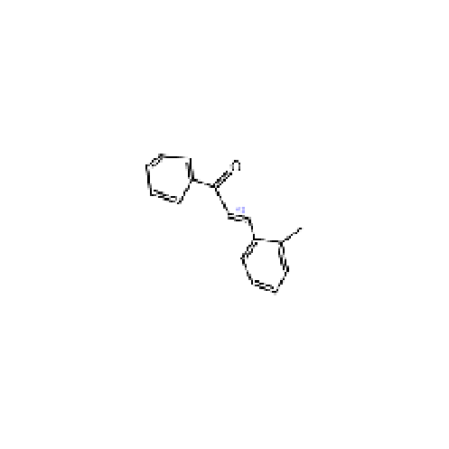 Cc1ccccc1/C=C/C(=O)c1ccccc1